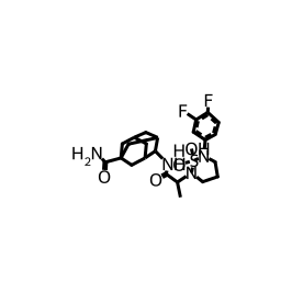 CC(C(=O)NC1C2CC3CC1CC(C(N)=O)(C3)C2)N1CCCN(c2ccc(F)c(F)c2)S1(O)O